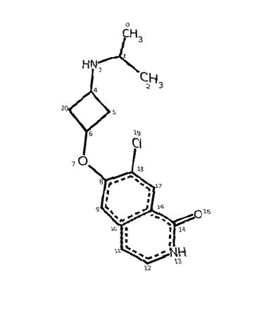 CC(C)NC1CC(Oc2cc3cc[nH]c(=O)c3cc2Cl)C1